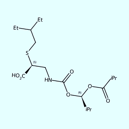 CCC(CC)CS[C@@H](CNC(=O)O[C@@H](OC(=O)C(C)C)C(C)C)C(=O)O